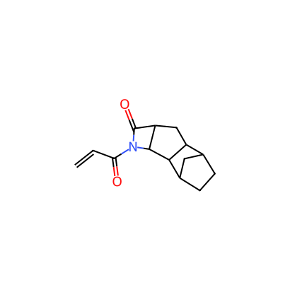 C=CC(=O)N1C(=O)C2CC3C4CCC(C4)C3C21